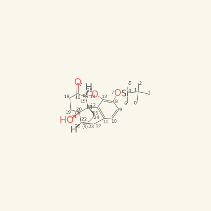 CC(C)(C)[Si](C)(C)Oc1ccc2c3c1O[C@H]1C(=O)CC[C@@]4(O)[C@H](CCC[C@]314)C2